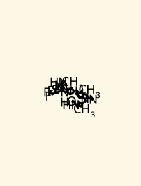 CNc1nc(NC2CCN(Cc3ccc4c(cc(C#N)n4CC4CC(C)(NC=O)C4)c3C)CC2)c2cc(CC(F)(F)F)sc2n1